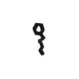 C=CCO[C]c1ccccc1